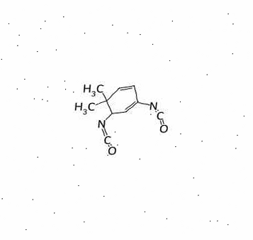 CC1(C)C=CC(N=C=O)=CC1N=C=O